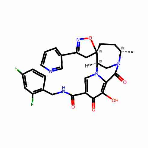 C[C@H]1CC[C@]2(CC(c3cccnc3)=NO2)[C@H]2CN1C(=O)c1c(O)c(=O)c(C(=O)NCc3ccc(F)cc3F)cn12